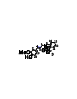 COc1cc(/C=C/CN(Cc2ccccc2)S(=O)(=O)C(F)(F)F)ccc1O